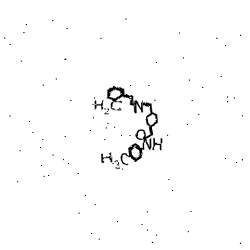 C=c1cccc/c1=C/C=N\C=C/C1CCC(=CC(=O)Nc2ccc(C)cc2)CC1